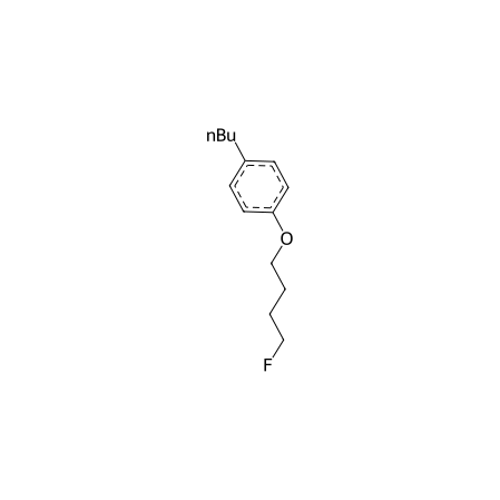 CCCCc1ccc(OCCCCF)cc1